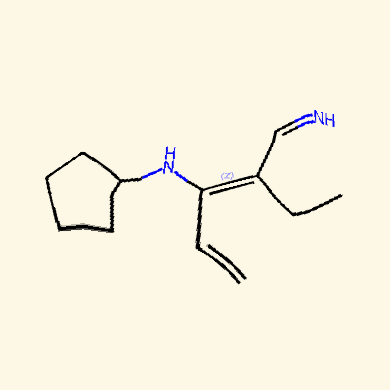 C=C/C(NC1CCCC1)=C(/C=N)CC